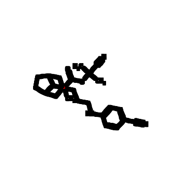 CN(C(=O)OC(C)(C)C#N)C1C2CCC1CN(CCCNc1ccc(C#N)cc1)C2